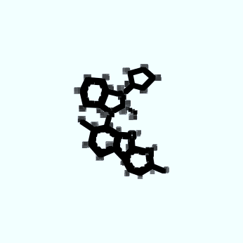 Cc1ccc2c(n1)oc1c(N3c4ccccc4N(C4CCCC4)[C@@H]3C)c(C)ccc12